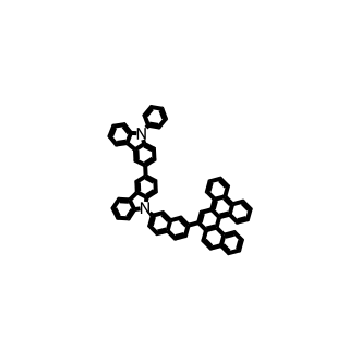 c1ccc(-n2c3ccccc3c3cc(-c4ccc5c(c4)c4ccccc4n5-c4ccc5ccc(-c6cc7c8ccccc8c8ccccc8c7c7c6ccc6ccccc67)cc5c4)ccc32)cc1